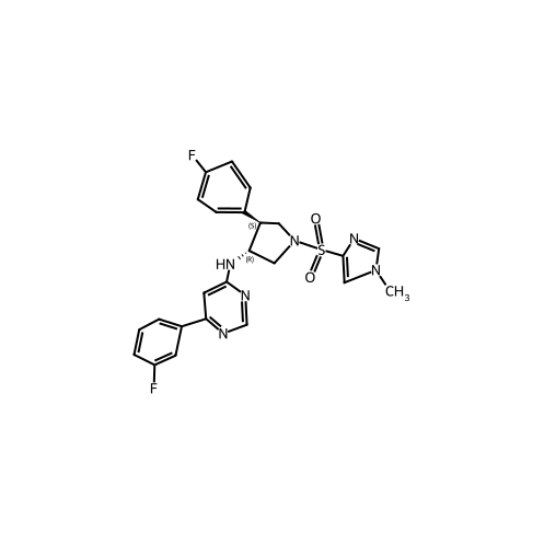 Cn1cnc(S(=O)(=O)N2C[C@H](Nc3cc(-c4cccc(F)c4)ncn3)[C@@H](c3ccc(F)cc3)C2)c1